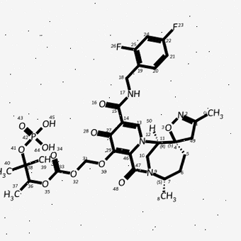 CC1=NO[C@@]2(CC[C@H](C)N3C[C@H]2n2cc(C(=O)NCc4ccc(F)cc4F)c(=O)c(OCOC(=O)OC(C)C(C)(C)OP(=O)(O)O)c2C3=O)C1